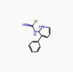 N=C(Br)NC1NC=CC=C1c1ccccc1